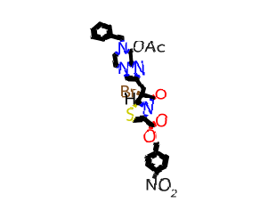 CC(=O)OC1c2nc(CC3(Br)C(=O)N4C(C(=O)OCc5ccc([N+](=O)[O-])cc5)=CS[C@@H]43)cn2CCN1Cc1ccccc1